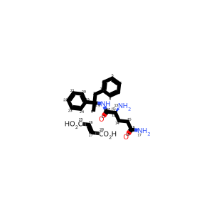 CC(Cc1ccccc1)(NC(=O)[C@@H](N)CCC(N)=O)c1ccccc1.O=C(O)C=CC(=O)O